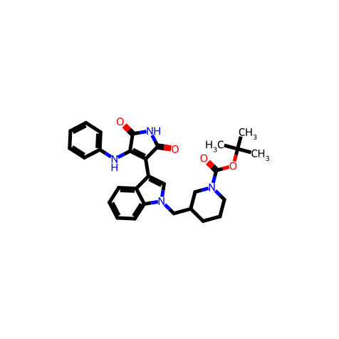 CC(C)(C)OC(=O)N1CCCC(Cn2cc(C3=C(Nc4ccccc4)C(=O)NC3=O)c3ccccc32)C1